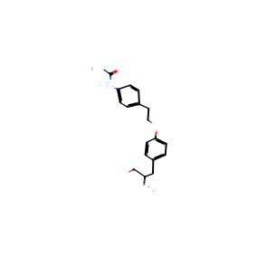 CC(C)C(=O)Nc1ccc(CCOc2ccc(CC(C#N)CO)cc2)cc1